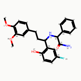 COc1ccc(CCC(NC(C(N)=O)c2ccccc2)c2cc(F)ccc2O)cc1OC